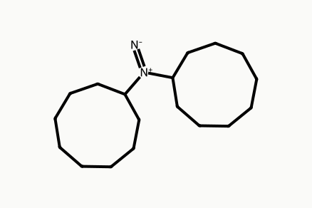 [N-]=[N+](C1CCCCCCCC1)C1CCCCCCCC1